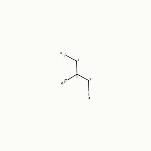 FC(CI)CI